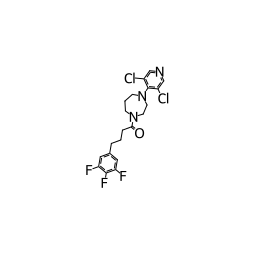 O=C(CCCc1cc(F)c(F)c(F)c1)N1CCCN(c2c(Cl)cncc2Cl)CC1